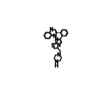 c1ccc(-c2cn3c(CN4CCNCC4)csc3n2)c(-c2cnc3ccccc3n2)c1